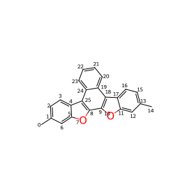 Cc1ccc2c(c1)oc1c3oc4cc(C)ccc4c3c3ccccc3c21